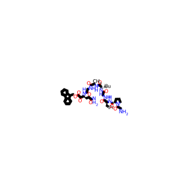 CC[C@H](C)[C@H](NC(=O)CNC(=O)[C@H](CC(C)C)NC(=O)[C@@H]1CCCN1C(=O)CN)C(=O)N[C@@H](C)C(=O)NCC(=O)N[C@@H](CCC(N)=O)C(=O)C(=O)OCC1c2ccccc2-c2ccccc21